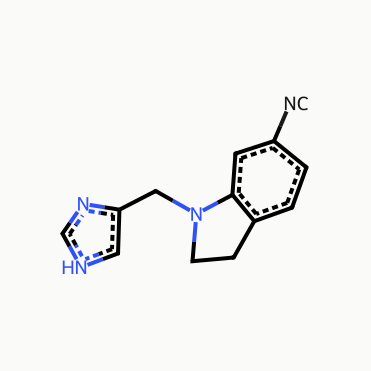 [C-]#[N+]c1ccc2c(c1)N(Cc1c[nH]cn1)CC2